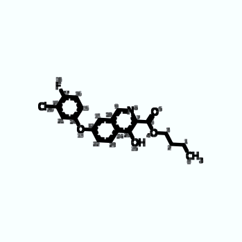 CCCCOC(=O)c1ncc2cc(Oc3ccc(F)c(Cl)c3)ccc2c1O